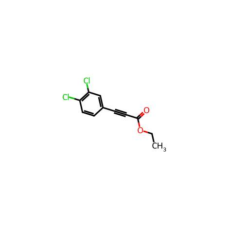 CCOC(=O)C#Cc1ccc(Cl)c(Cl)c1